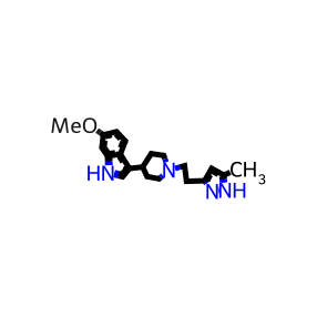 COc1ccc2c(C3CCN(CCc4cc(C)[nH]n4)CC3)c[nH]c2c1